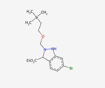 CCOC(=O)C1c2ccc(Br)cc2NN1COCC[Si](C)(C)C